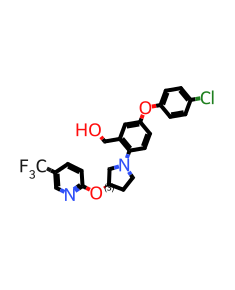 OCc1cc(Oc2ccc(Cl)cc2)ccc1N1CC[C@H](Oc2ccc(C(F)(F)F)cn2)C1